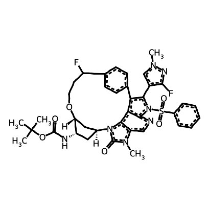 Cn1cc(-c2c3c4c(ncc5c4n(c(=O)n5C)[C@H]4C[C@H](NC(=O)OC(C)(C)C)[C@@H](C4)OCCC(F)c4ccc-3cc4)n2S(=O)(=O)c2ccccc2)c(F)n1